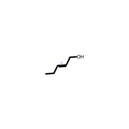 CC/C=C/[CH]O